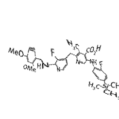 COc1ccc(CNc2nccc(Cc3ncc(Nc4ccc([Si](C)(C)C)cc4F)c(C(=O)O)c3C)c2F)c(OC)c1